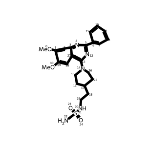 COc1cc2nc(-c3ccccc3)nc(N3CCC(CCNS(N)(=O)=O)CC3)c2cc1OC